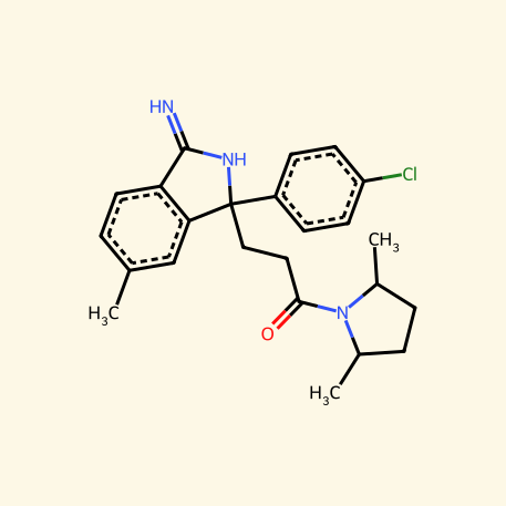 Cc1ccc2c(c1)C(CCC(=O)N1C(C)CCC1C)(c1ccc(Cl)cc1)NC2=N